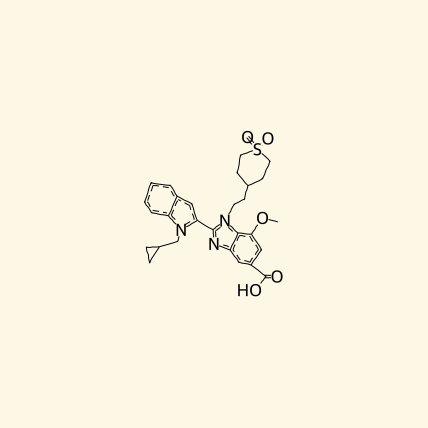 COc1cc(C(=O)O)cc2nc(-c3cc4ccccc4n3CC3CC3)n(CCC3CCS(=O)(=O)CC3)c12